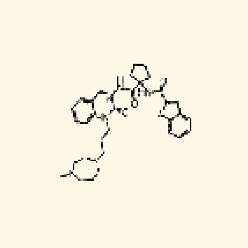 CN1CCCN(CCCNC(=O)[C@@H](Cc2ccccc2)NC(=O)C2(NC(=O)c3cc4ccccc4s3)CCCC2)CC1